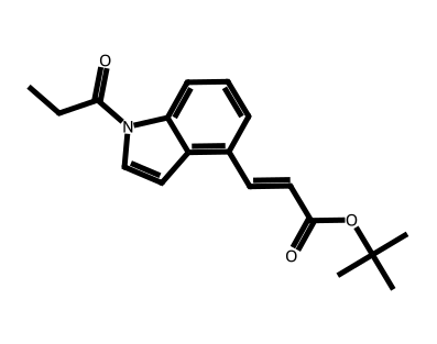 CCC(=O)n1ccc2c(/C=C/C(=O)OC(C)(C)C)cccc21